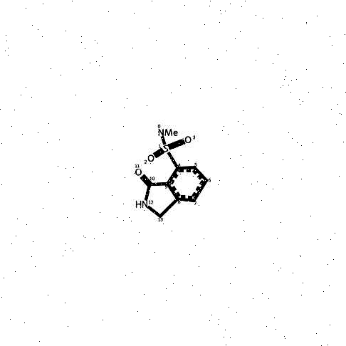 CNS(=O)(=O)c1cccc2c1C(=O)NC2